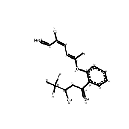 C/C(=C\C=C(\Cl)C=N)Oc1ccccc1C(=N)CC(O)C(C)(F)F